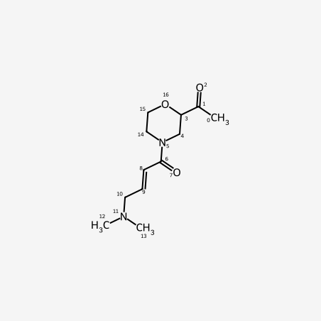 CC(=O)C1CN(C(=O)/C=C/CN(C)C)CCO1